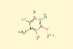 CCCCCCCCOc1c(O)c(C(=O)O)c(Cl)c(Cl)c1Cl